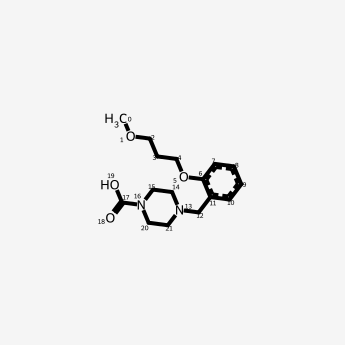 COCCCOc1ccccc1CN1CCN(C(=O)O)CC1